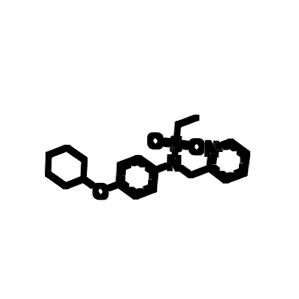 CCS(=O)(=O)N(Cc1ccccn1)c1ccc(OC2CCCCC2)cc1